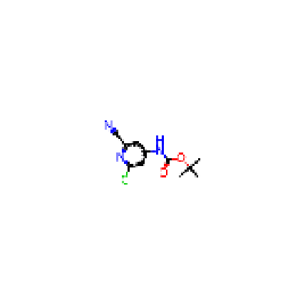 CC(C)(C)OC(=O)Nc1cc(Cl)nc(C#N)c1